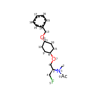 CC(=O)N(C)[C@@H](CF)CO[C@H]1CC[C@H](OCc2ccccc2)CC1